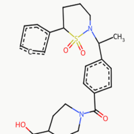 CC(c1ccc(C(=O)N2CCC(CO)CC2)cc1)N1CCCC(c2ccccc2)S1(=O)=O